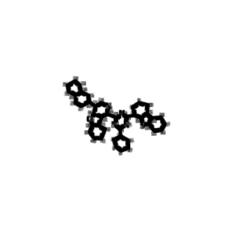 c1ccc(-c2nc(-c3cccc4c3sc3ccccc34)nc(-c3ncc(-c4ccc5ccccc5c4)c4oc5ccccc5c34)n2)cc1